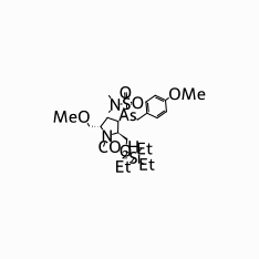 CC[Si](CC)(CC)OC[C@@H]1[C@@H]([As](Cc2ccc(OC)cc2)S(=O)(=O)N(C)C)C[C@@H](COC)N1C(=O)O